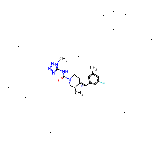 CC1CN(C(=O)Nc2nnnn2C)CC/C1=C\c1cc(F)cc(C(F)(F)F)c1